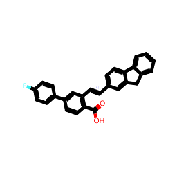 O=C(O)c1ccc(-c2ccc(F)cc2)cc1/C=C/c1ccc2c(c1)Cc1ccccc1-2